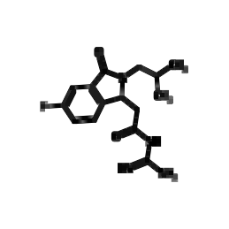 CC(C)CN1C(=O)c2cc(F)ccc2C1CC(=O)NC(=N)N